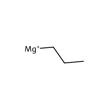 CC[CH2][Mg+]